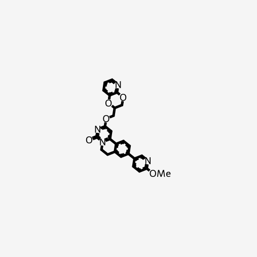 COc1ccc(-c2ccc3c(c2)CCn2c-3cc(OCC3COc4ncccc4O3)nc2=O)cn1